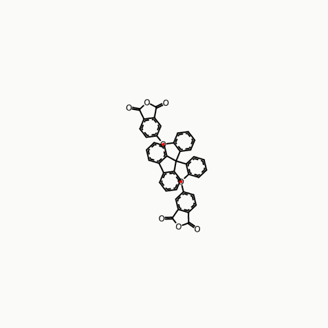 O=C1OC(=O)c2cc(Oc3ccccc3C3(c4ccccc4Oc4ccc5c(c4)C(=O)OC5=O)c4ccccc4-c4ccccc43)ccc21